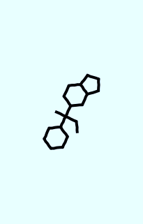 CCC(C)(C1CCCCC1)C1CCC2CCCC2C1